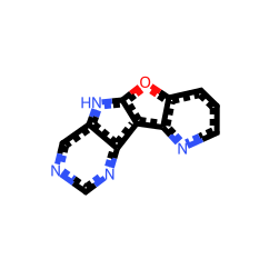 c1cnc2c(c1)oc1[nH]c3cncnc3c12